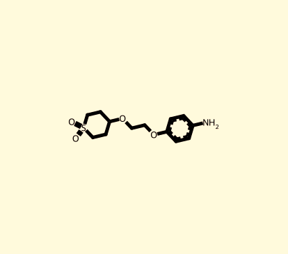 Nc1ccc(OCCOC2CCS(=O)(=O)CC2)cc1